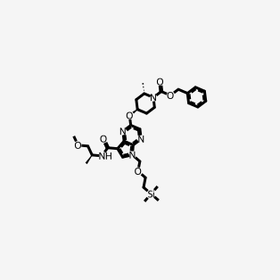 COC[C@H](C)NC(=O)c1cn(COCC[Si](C)(C)C)c2ncc(O[C@@H]3CCN(C(=O)OCc4ccccc4)[C@@H](C)C3)nc12